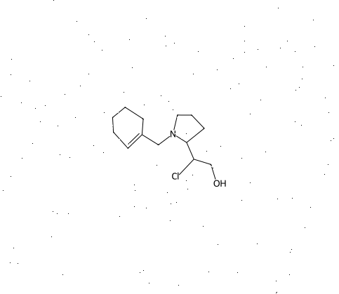 OCC(Cl)C1CCCN1CC1=CCCCC1